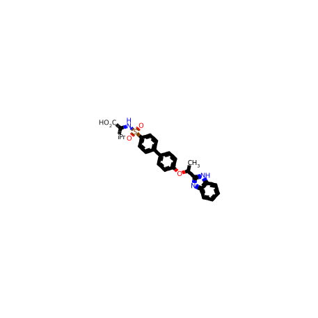 CC(Oc1ccc(-c2ccc(S(=O)(=O)NC(C(=O)O)C(C)C)cc2)cc1)c1nc2ccccc2[nH]1